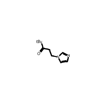 CC(C)(C)C(=O)CCn1ccnc1